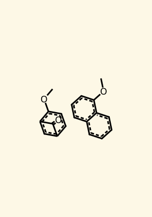 COc1ccc2cc1C2=O.COc1cccc2ccccc12